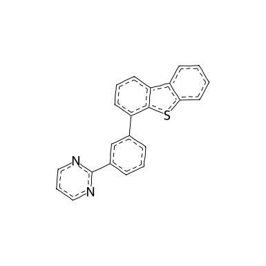 c1cnc(-c2cccc(-c3cccc4c3sc3ccccc34)c2)nc1